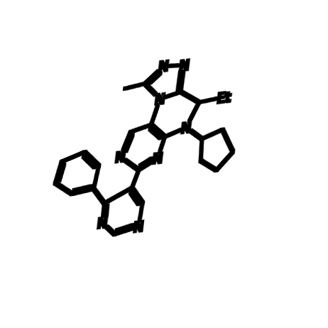 CCC1c2nnc(C)n2-c2cnc(-c3cncnc3-c3ccccc3)nc2N1C1CCCC1